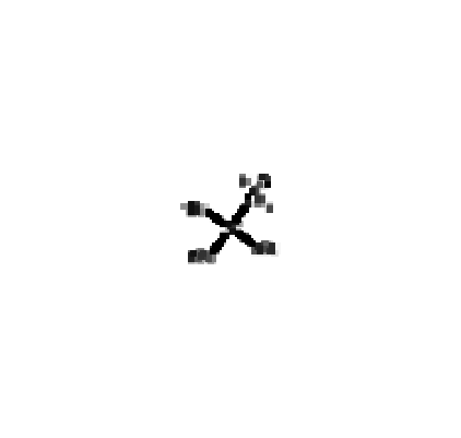 CCCC[N+](C)(CCCC)CCCC.O